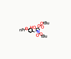 CCCOc1ccc(C[C@@H]2[C@H](O)[C@@H](OC(=O)OC(C)(C)C)CN2C(=O)OC(C)(C)C)cc1